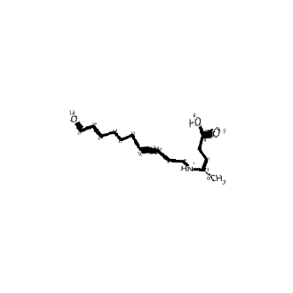 C[C@@H](CCC(=O)O)NCCC=CCCCCCC=O